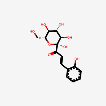 O=C(/C=C/c1ccccc1O)[C@@]1(O)O[C@H](CO)[C@@H](O)[C@H](O)[C@H]1O